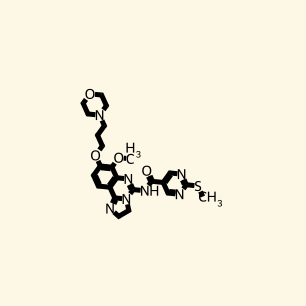 COc1c(OCCCN2CCOCC2)ccc2c1N=C(NC(=O)c1cnc(SC)nc1)N1CCN=C21